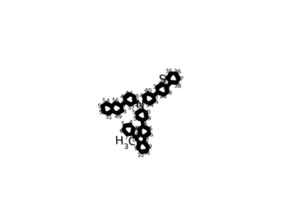 CC1(c2ccccc2)c2ccccc2-c2ccc(-c3ccc(N(c4ccc(-c5ccc6c(c5)sc5ccccc56)cc4)c4cccc(-c5ccc6ccccc6c5)c4)cc3)cc21